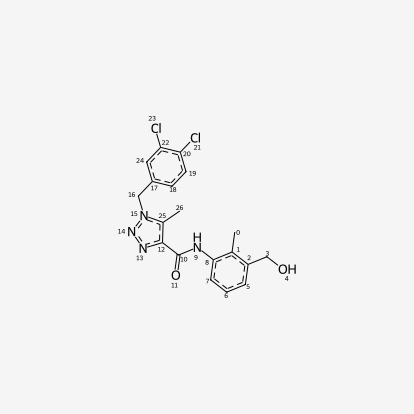 Cc1c(CO)cccc1NC(=O)c1nnn(Cc2ccc(Cl)c(Cl)c2)c1C